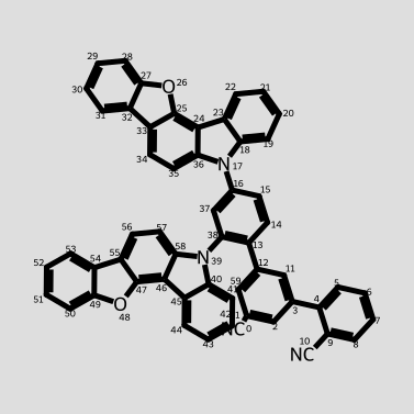 N#Cc1cc(-c2ccccc2C#N)cc(-c2ccc(-n3c4ccccc4c4c5oc6ccccc6c5ccc43)cc2-n2c3ccccc3c3c4oc5ccccc5c4ccc32)c1